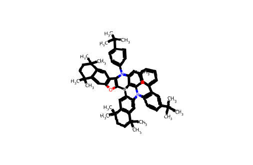 Cc1cc2c3c(c1)N(c1ccc(C(C)(C)C)cc1)c1c(oc4cc5c(cc14)C(C)(C)CCC5(C)C)B3c1cc3c(cc1N2c1ccc(C(C)(C)C)cc1-c1ccccc1)C(C)(C)CCC3(C)C